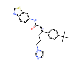 CC(C)(C)c1ccc(/C(=C/C(=O)Nc2ccc3ncsc3c2)CCCn2ccnc2)cc1